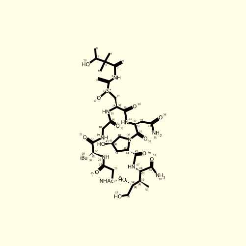 C=C(NC(=C)C(C)(C)C(C)O)[S+]([O-])C[C@H](NC(=O)CNC(=O)[C@@H](NC(=O)CNC(C)=O)[C@@H](C)CC)C(=O)N[C@@H](CC(N)=O)C(=O)N1C[C@H](O)C[C@H]1C(=O)N[C@H](C(N)=O)[C@@H](C)[C@@H](O)CO